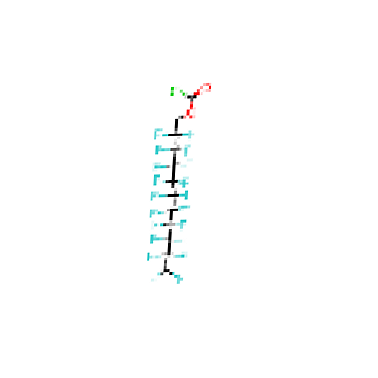 O=C(Cl)OCC(F)(F)C(F)(F)C(F)(F)C(F)(F)C(F)(F)C(F)(F)C(F)(F)C(F)(F)C(F)(F)C(F)F